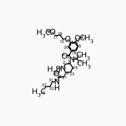 BN1CC(N(C(=O)c2ccc(OC)c(OCCCOC)c2)C(C)C)CC[C@H]1CC(=O)NCCCC